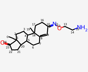 CC12CCC3C(CCC4=CC(=NOCCN)CCC43C)C1CCC2=O